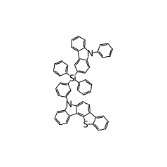 c1ccc(-n2c3ccccc3c3cc([Si](c4ccccc4)(c4ccccc4)c4cccc(-n5c6ccccc6c6c7sc8ccccc8c7ccc65)c4)ccc32)cc1